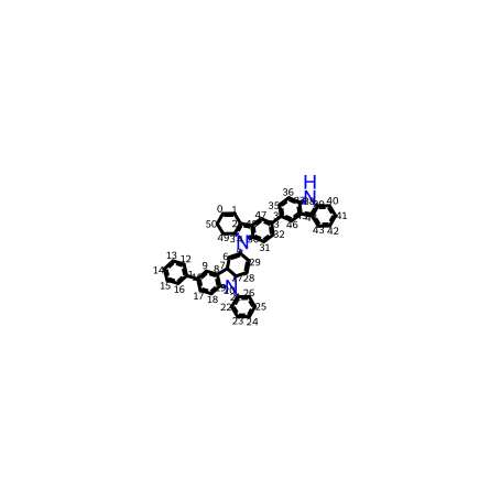 C1=Cc2c(n(C3=CC4c5cc(-c6ccccc6)ccc5N(c5ccccc5)C4C=C3)c3ccc(-c4ccc5[nH]c6ccccc6c5c4)cc23)CC1